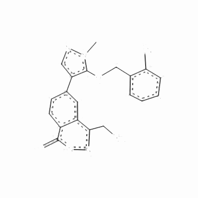 Cn1ncc(-c2ccc3c(=O)[nH]nc(CN)c3c2)c1OCc1ccccc1C#N